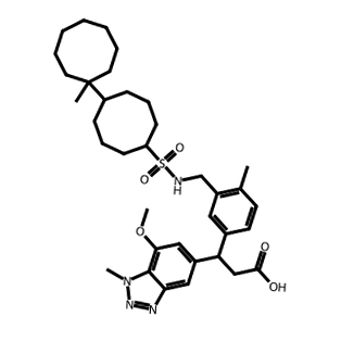 COc1cc(C(CC(=O)O)c2ccc(C)c(CNS(=O)(=O)C3CCCC(C4(C)CCCCCCC4)CCC3)c2)cc2nnn(C)c12